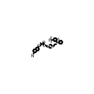 CC(COc1ccc2cc(C#N)ccc2c1)C(=O)OCCN1CCN(CCCN2c3ccccc3Sc3ccc(C(F)(F)F)cc32)CC1